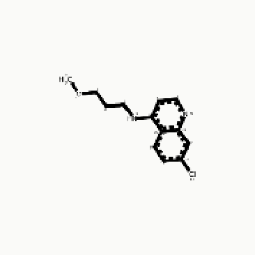 COCCCNc1ccnc2cc(Cl)ccc12